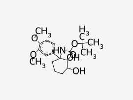 COc1ccc(C2(NC(=O)OC(C)(C)C)CCCC(O)C2O)cc1OC